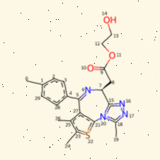 Cc1ccc(C2=N[C@@H](CC(=O)OCCO)c3nnc(C)n3-c3sc(C)c(C)c32)cc1